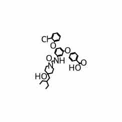 CCC(CC)CC1(O)CCN(C(=O)Nc2cc(Oc3ccc(C(=O)O)cc3)cc(Oc3ccccc3Cl)c2)CC1